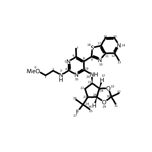 COCCNc1nc(C)c(-c2nc3c(C)nccc3s2)c(N[C@@H]2CC(C(C)(C)F)[C@H]3OC(C)(C)O[C@H]32)n1